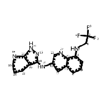 FC(F)(F)CNc1cccc2cc(Nc3n[nH]c4ncccc34)cnc12